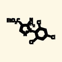 CCOC(=O)c1cnn(-c2c(Cl)cc(Cl)cc2Cl)c1N